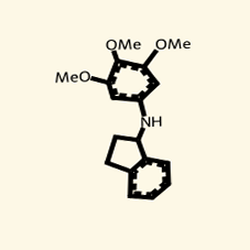 COc1cc(NC2CCc3ccccc32)cc(OC)c1OC